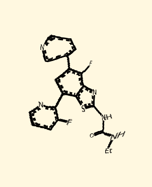 CCNC(=O)Nc1nc2c(F)c(-c3cccnc3)cc(-c3ncccc3F)c2s1